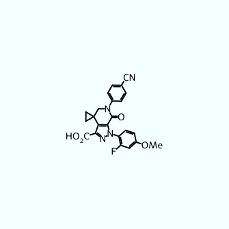 COc1ccc(-n2nc(C(=O)O)c3c2C(=O)N(c2ccc(C#N)cc2)CC32CC2)c(F)c1